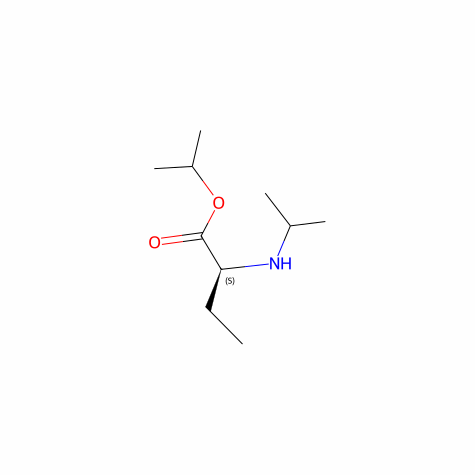 CC[C@H](NC(C)C)C(=O)OC(C)C